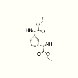 CCOC(=O)C(=N)c1cccc(C(=N)C(=O)OCC)c1